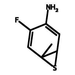 CC12C=C(F)C(N)=CC1S2